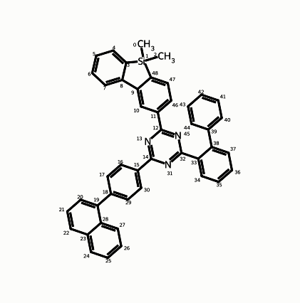 C[Si]1(C)c2ccccc2-c2cc(-c3nc(-c4ccc(-c5cccc6ccccc56)cc4)nc(-c4ccccc4-c4ccccc4)n3)ccc21